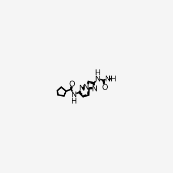 CNC(=O)Nc1cn2nc(NC(=O)C3CCCC3)ccc2n1